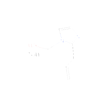 C=CCc1nccn1CO.[NaH]